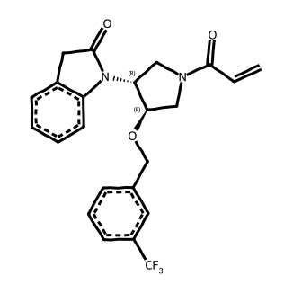 C=CC(=O)N1C[C@@H](N2C(=O)Cc3ccccc32)[C@H](OCc2cccc(C(F)(F)F)c2)C1